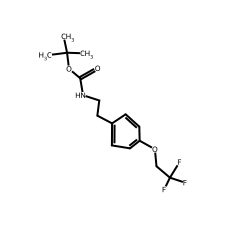 CC(C)(C)OC(=O)NCCc1ccc(OCC(F)(F)F)cc1